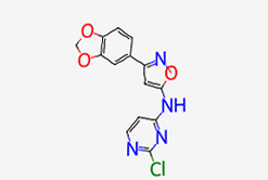 Clc1nccc(Nc2cc(-c3ccc4c(c3)OCO4)no2)n1